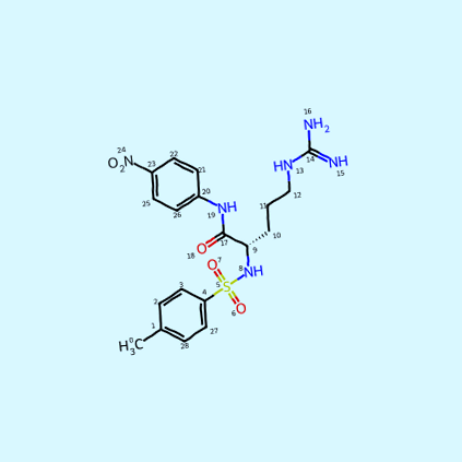 Cc1ccc(S(=O)(=O)N[C@@H](CCCNC(=N)N)C(=O)Nc2ccc([N+](=O)[O-])cc2)cc1